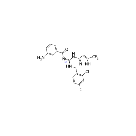 Nc1cccc(C(=O)/N=C(/NCc2ccc(F)cc2Cl)Nc2cc(C(F)(F)F)[nH]n2)c1